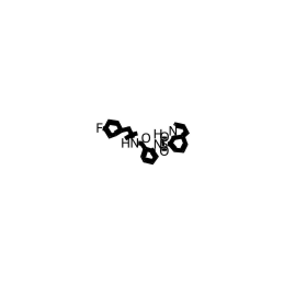 CC(C)(Cc1ccc(F)cc1)NC(=O)c1ccccc1NS(=O)(=O)c1cccc2cccnc12